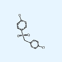 O=S(=O)(Cc1ccc(Cl)cc1)c1ccc(Cl)cc1